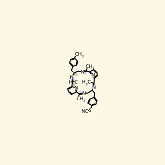 C/C1=N\C[C@H](Cc2ccc(C)cc2)/N=C(\C)c2cccc(n2)/C(C)=N/CC(Cc2ccc(SC#N)cc2)/N=C(\C)c2cccc1n2